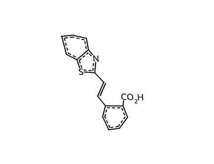 O=C(O)c1ccccc1C=Cc1nc2ccccc2s1